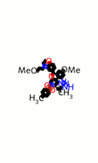 COCCCN1CCOc2ccc(CO[C@H]3CN(S(=O)(=O)c4ccc(C)cc4)[C@@H](C[C@H](C)c4nnn[nH]4)C[C@@H]3c3ccc(OC)cc3)cc21